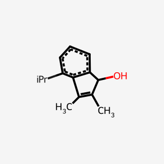 CC1=C(C)C(O)c2cccc(C(C)C)c21